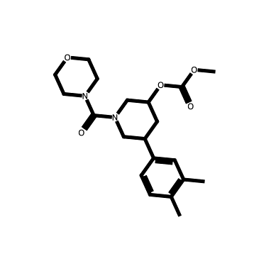 COC(=O)OC1CC(c2ccc(C)c(C)c2)CN(C(=O)N2CCOCC2)C1